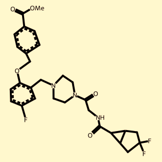 COC(=O)c1ccc(COc2ccc(F)cc2CN2CCN(C(=O)CNC(=O)C3C4CC(F)(F)CC43)CC2)cc1